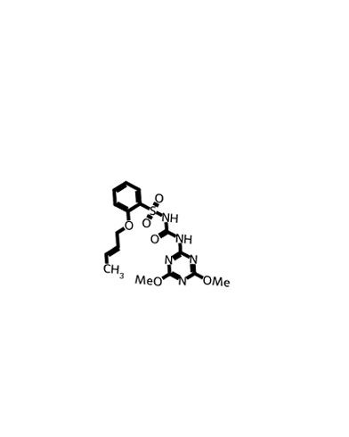 CC=CCOc1ccccc1S(=O)(=O)NC(=O)Nc1nc(OC)nc(OC)n1